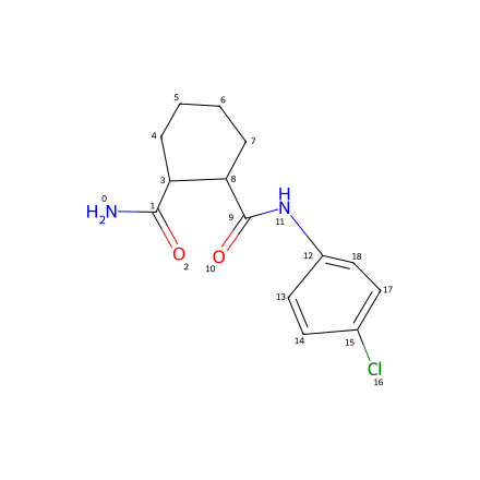 NC(=O)C1CCCCC1C(=O)Nc1ccc(Cl)cc1